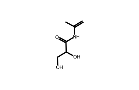 C=C(C)NC(=O)C(O)CO